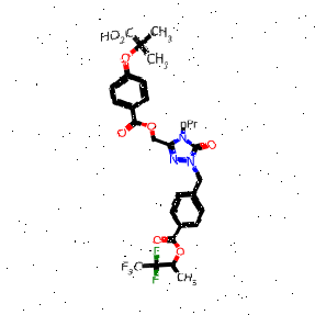 CCCn1c(COC(=O)c2ccc(OC(C)(C)C(=O)O)cc2)nn(Cc2ccc(C(=O)OC(C)C(F)(F)C(F)(F)F)cc2)c1=O